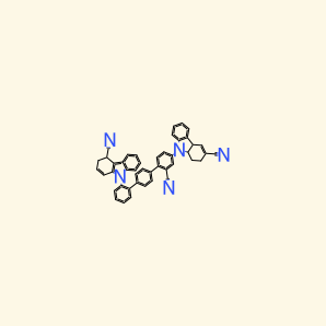 N#CC1=CC2c3ccccc3N(c3ccc(-c4ccc(-c5ccccc5-n5c6c(c7ccccc75)C(C#N)CC=C6)cc4)c(C#N)c3)C2CC1